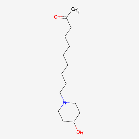 CC(=O)CCCCCCCCN1CCC(O)CC1